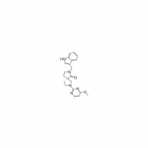 COc1ccnc(N2CC[C@@]3(CCN(Cc4c[nH]c5ccccc45)C3=O)C2)n1